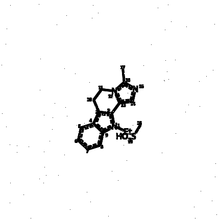 CCn1c2c(c3ccccc31)CCn1c-2cnc1C.CS(=O)(=O)O